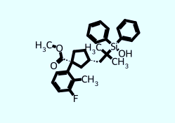 COC(=O)[C@]1(c2cccc(F)c2C)CC[C@H](CC(C)(C)[Si](O)(c2ccccc2)c2ccccc2)C1